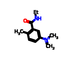 C=[N+](C)c1ccc(C)c(C(=O)NCC)c1